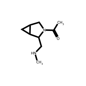 CNCC1C2CC2CN1C(C)=O